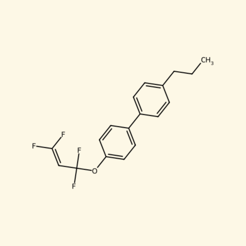 CCCc1ccc(-c2ccc(OC(F)(F)C=C(F)F)cc2)cc1